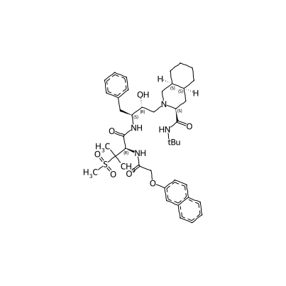 CC(C)(C)NC(=O)[C@@H]1C[C@@H]2CCCC[C@@H]2CN1C[C@@H](O)[C@H](Cc1ccccc1)NC(=O)[C@@H](NC(=O)COc1ccc2ccccc2c1)C(C)(C)S(C)(=O)=O